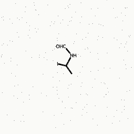 CC(I)N[C]=O